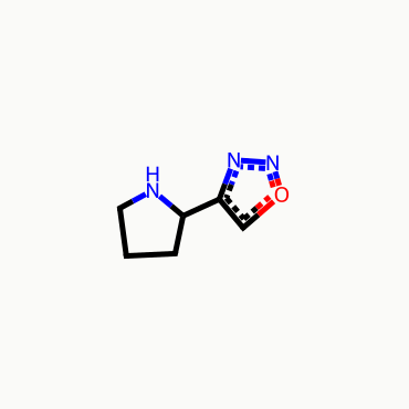 c1onnc1C1CCCN1